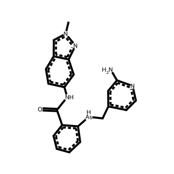 Cn1cc2ccc(NC(=O)c3ccccc3[AsH]Cc3ccnc(N)c3)cc2n1